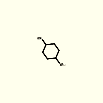 [CH2]CC(C)C1CCC(C(C)(C)C)CC1